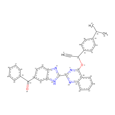 C#CC(Oc1nc(-c2nc3ccc(C(=O)c4ccccc4)cc3[nH]2)nc2ccccc12)c1ccc(C(C)C)cc1